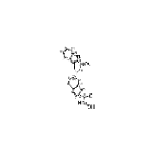 CC(=O)N(CC[C@H]1CCc2ccc(C(=O)NO)cc2C1)c1nc2ccccc2[nH]1